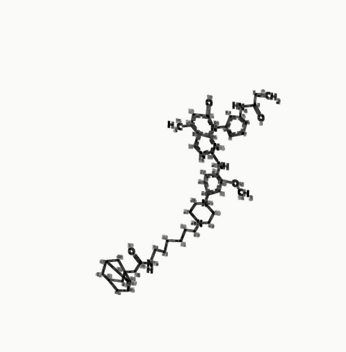 C=CC(=O)Nc1cccc(-n2c(=O)cc(C)c3cnc(Nc4ccc(N5CCN(CCCCCCNC(=O)CC67CC8CC(CC(C8)C6)C7)CC5)cc4OC)nc32)c1